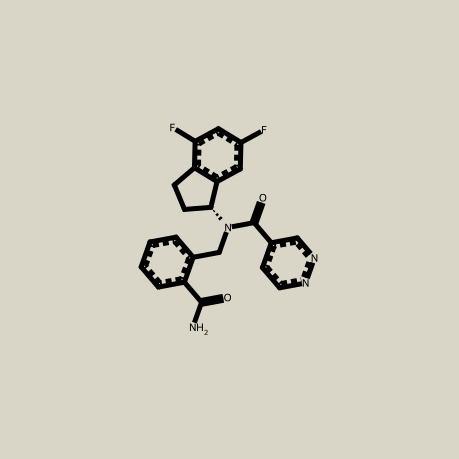 NC(=O)c1ccccc1CN(C(=O)c1ccnnc1)[C@@H]1CCc2c(F)cc(F)cc21